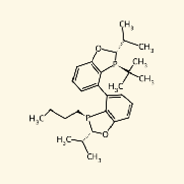 CCCC[P@@]1c2c(cccc2-c2cccc3c2[P@](C(C)(C)C)[C@@H](C(C)C)O3)O[C@@H]1C(C)C